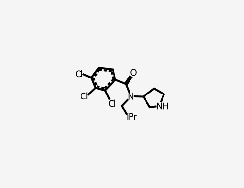 CC(C)CN(C(=O)c1ccc(Cl)c(Cl)c1Cl)C1CCNC1